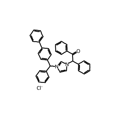 O=C(c1ccccc1)C(c1ccccc1)n1cc[n+](C(c2ccccc2)c2ccc(-c3ccccc3)cc2)c1.[Cl-]